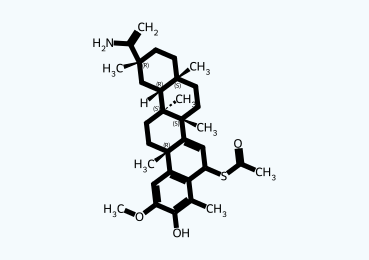 C=C(N)[C@]1(C)CC[C@]2(C)CC[C@]3(C)C4=CC(SC(C)=O)c5c(cc(OC)c(O)c5C)[C@]4(C)CC[C@@]3(C)[C@@H]2C1